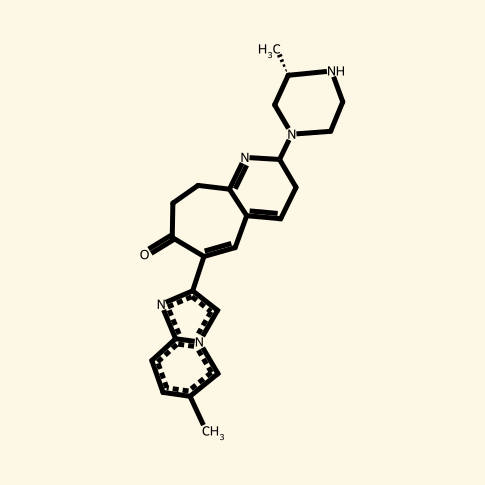 Cc1ccc2nc(C3=CC4=CCC(N5CCN[C@@H](C)C5)N=C4CCC3=O)cn2c1